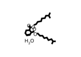 CC(C)CCCCCCCOC(=O)C1C=CCCC1C(=O)OCCCCCCCC(C)C.O